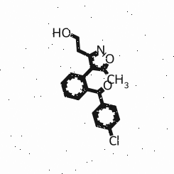 Cc1onc(CCO)c1-c1ccccc1C(=O)c1ccc(Cl)cc1